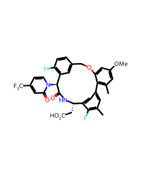 COc1cc(C)c2c(c1)OCc1ccc(F)c(c1)[C@H](n1ccc(C(F)(F)F)cc1=O)C(=O)N[C@@H](CC(=O)O)c1cc-2cc(C)c1F